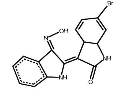 O=C1NC2C=C(Br)C=CC2/C1=C1/Nc2ccccc2/C1=N/O